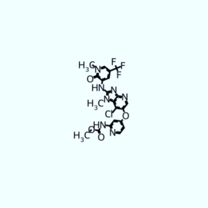 COC(=O)Nc1cc(Oc2cnc3nc(Nc4cc(C(F)(F)F)cn(C)c4=O)n(C)c3c2Cl)ccn1